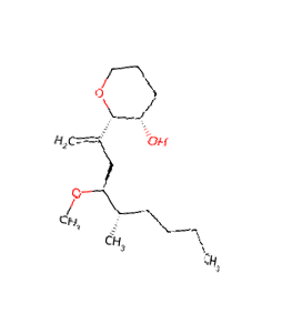 C=C(C[C@H](OC)[C@@H](C)CCCC)[C@@H]1OCCC[C@@H]1O